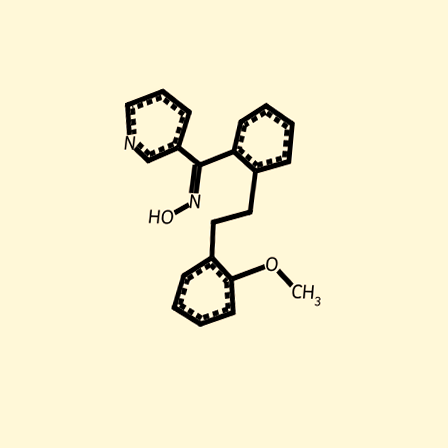 COc1ccccc1CCc1ccccc1C(=NO)c1cccnc1